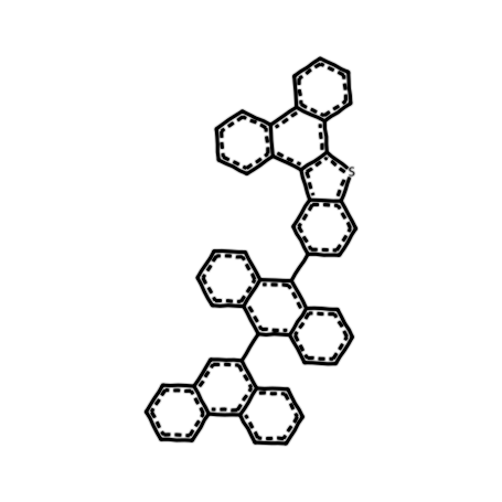 c1ccc2c(c1)cc(-c1c3ccccc3c(-c3ccc4sc5c6ccccc6c6ccccc6c5c4c3)c3ccccc13)c1ccccc12